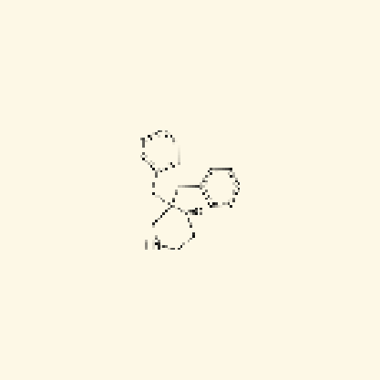 O=C1CCNCC1(Cc1ccccc1)Cc1ccccc1